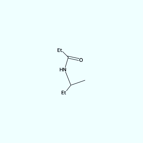 CCC(=O)NC(C)CC